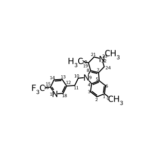 Cc1ccc2c(c1)c1c(n2CCc2ccc(C(F)(F)F)nc2)C(C)CN(C)C1